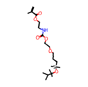 C=C(C)C(=O)OCCNC(=O)OCCOCCC[Si](C)(C)OC(C)(C)C(C)C